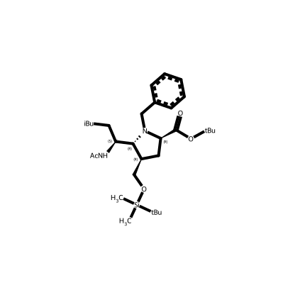 CCC(C)C[C@H](NC(C)=O)[C@H]1[C@H](CO[Si](C)(C)C(C)(C)C)C[C@H](C(=O)OC(C)(C)C)N1Cc1ccccc1